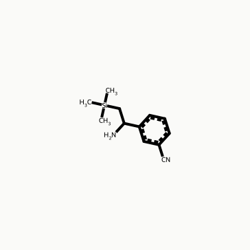 C[Si](C)(C)CC(N)c1cccc(C#N)c1